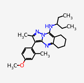 CCC(CC)Nc1c2c(nc3c(-c4ccc(OC)cc4C)c(C)nn13)CCCC2